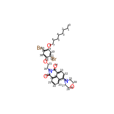 CCCCCCCCOc1cc(Br)c(OCCN2C(=O)c3cccc4c(N5CCOCC5)ccc(c34)C2=O)cc1Br